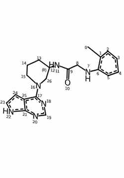 Cc1ccccc1NCC(=O)N[C@@H]1CCCN(c2ncnc3[nH]ccc23)C1